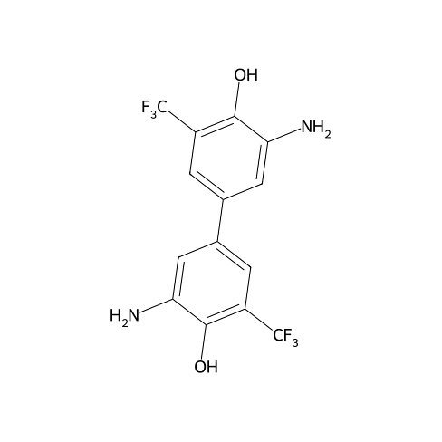 Nc1cc(-c2cc(N)c(O)c(C(F)(F)F)c2)cc(C(F)(F)F)c1O